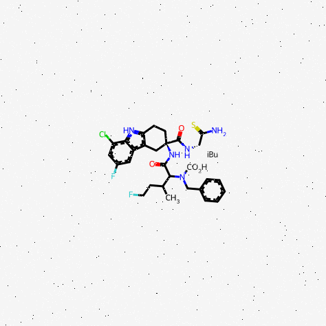 CC[C@H](C)[C@H](NC(=O)[C@@]1(NC(=O)C(C(C)CCF)N(Cc2ccccc2)C(=O)O)CCc2[nH]c3c(Cl)cc(F)cc3c2C1)C(N)=S